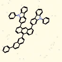 c1ccc(-c2ccc3ccc(-c4c5cccc(-c6ccc7c8ccccc8n(-c8ccccc8)c7c6)c5cc5c(-c6ccc7c8ccccc8n(-c8ccccc8)c7c6)cccc45)cc3c2)cc1